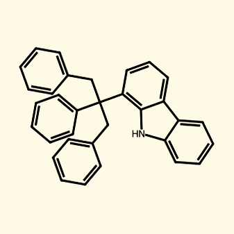 c1ccc(CC(Cc2ccccc2)(c2ccccc2)c2cccc3c2[nH]c2ccccc23)cc1